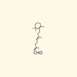 CC1=C(CC/C(C)=C/CC/C(C)=C/C=O)C(C)(C)CCC1